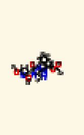 CCc1nc(-c2ccc(OC)nc2OC)c(=O)n(C)c1N[C@H]1c2ccccc2C[C@@H]1OC(C)=O